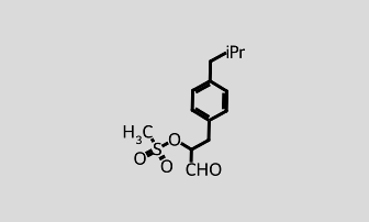 CC(C)Cc1ccc(CC(C=O)OS(C)(=O)=O)cc1